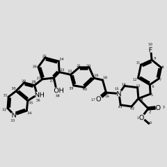 COC(=O)C1(Cc2ccc(F)cc2)CCN(C(=O)Cc2ccc(-c3cccc(-c4cc5ccncc5[nH]4)c3O)cc2)CC1